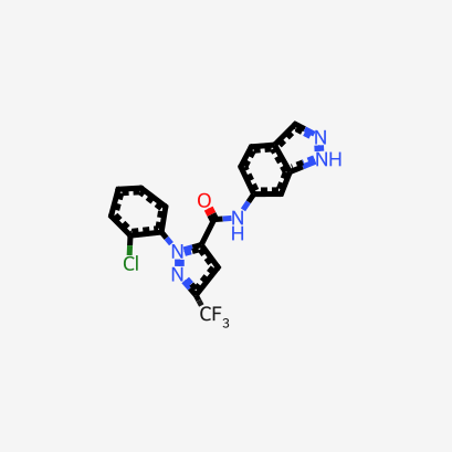 O=C(Nc1ccc2cn[nH]c2c1)c1cc(C(F)(F)F)nn1-c1ccccc1Cl